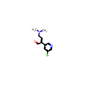 CN(C)CC=C(C=O)c1cncc(Br)c1